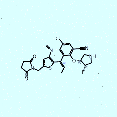 C=Nc1cc(CN2C(=O)CCC2=O)sc1/C(=C\C)c1cc(Cl)cc(C#N)c1O[C@@H]1CNC[C@@H]1F